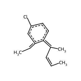 CC=c1cc(Cl)cc/c1=C(C)/C=C\C